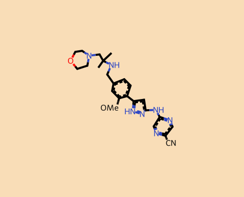 COc1cc(CNC(C)(C)CN2CCOCC2)ccc1-c1cc(Nc2cnc(C#N)cn2)n[nH]1